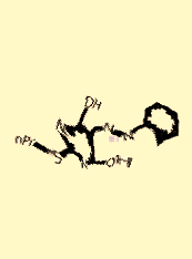 CCCSc1nc(O)c(/N=N/c2ccccc2)c(O)n1